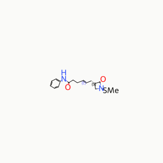 CSN1C[C@H](C/C=C/CCC(=O)Nc2ccccc2)C1=O